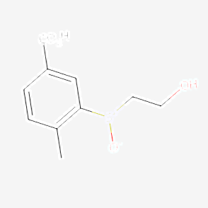 Cc1ccc(C(=O)O)cc1[S+]([O-])CCO